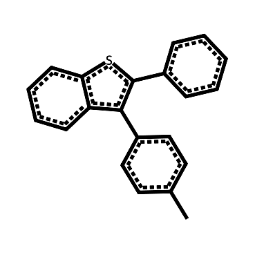 Cc1ccc(-c2c(-c3ccccc3)sc3ccccc23)cc1